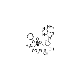 C#C[C@]1(COP(=O)(N[C@@H](C)C(=O)OCC)Oc2ccccc2)O[C@@H](n2cnc3c(N)ncnc32)C[C@@H]1O